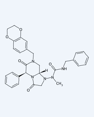 CN(C(=O)NCc1ccccc1)N1CC(=O)N2[C@@H](c3ccccc3)C(=O)N(Cc3ccc4c(c3)OCCO4)C[C@@H]21